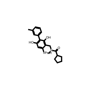 CCCCCc1cc(O)c(-c2cccc(C)c2)c(O)c1CN(C)C(=O)C1CCCC1